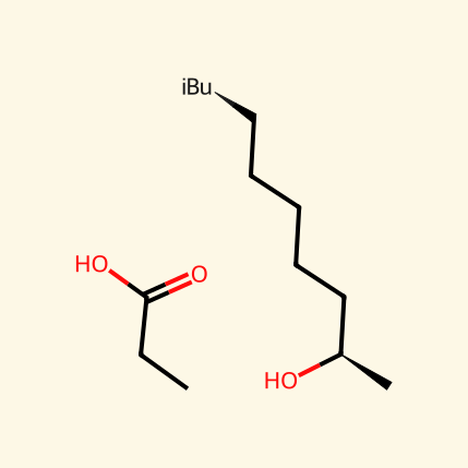 CCC(=O)O.CC[C@H](C)CCCCC[C@@H](C)O